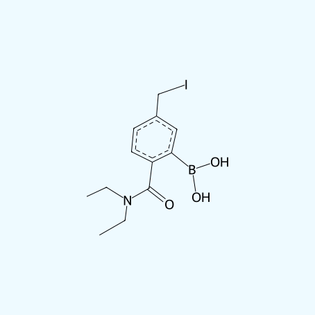 CCN(CC)C(=O)c1ccc(CI)cc1B(O)O